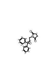 O=C1CCC(=O)N1CC1OC1(c1ccccc1)c1ccccc1